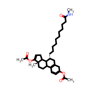 CNC(=O)CCCCCCCCCC[C@@H]1CC2=C(C=C=C(OC(C)=O)C2)C2CC[C@]3(C)C(OC(C)=O)=CCC3C21